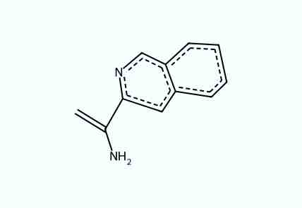 C=C(N)c1cc2ccccc2cn1